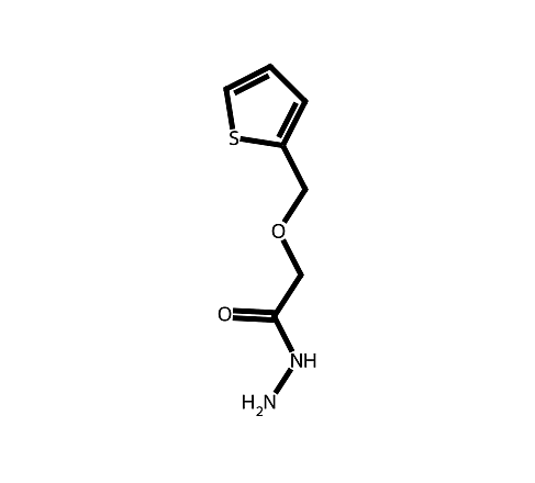 NNC(=O)COCc1cccs1